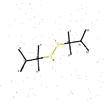 CC(C)C(C)(C)SSC(C)(C)C(C)C